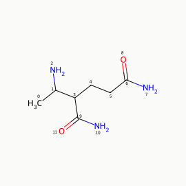 CC(N)C(CCC(N)=O)C(N)=O